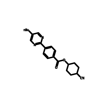 CCCCc1cnc(-c2ccc(C(=O)OC3CCC(C#N)CC3)cc2)nc1